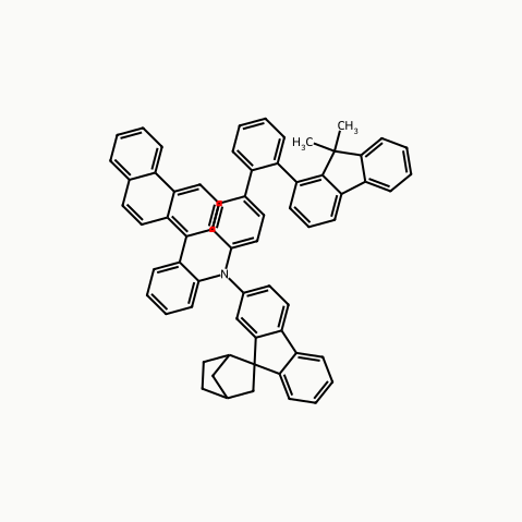 CC1(C)c2ccccc2-c2cccc(-c3ccccc3-c3ccc(N(c4ccc5c(c4)C4(CC6CCC4C6)c4ccccc4-5)c4ccccc4-c4cccc5c4ccc4ccccc45)cc3)c21